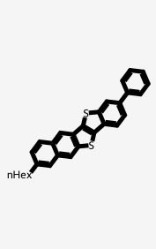 CCCCCCc1ccc2cc3c(cc2c1)sc1c2ccc(-c4ccccc4)cc2sc31